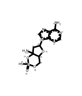 Nc1ncnc2c1ncn2C1CC2(N)OP(=O)(S)OCC2O1